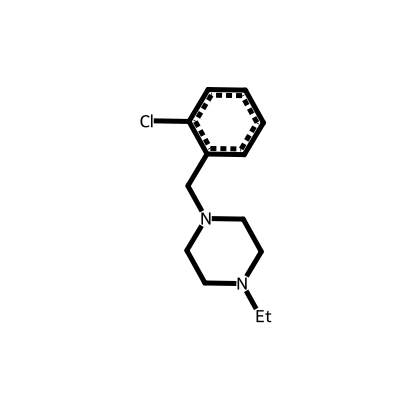 CCN1CCN(Cc2ccccc2Cl)CC1